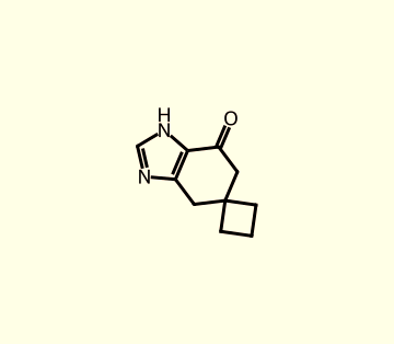 O=C1CC2(CCC2)Cc2nc[nH]c21